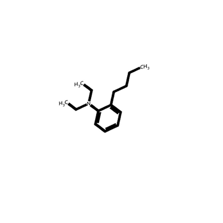 CCCCc1ccccc1N(CC)CC